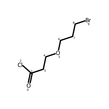 O=C(Cl)CCOCCCBr